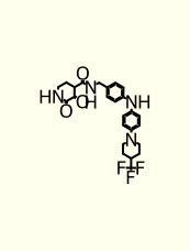 O=C1NCCC(C(=O)NCc2ccc(Nc3ccc(N4CCC(C(F)(F)F)CC4)cc3)cc2)C1=O